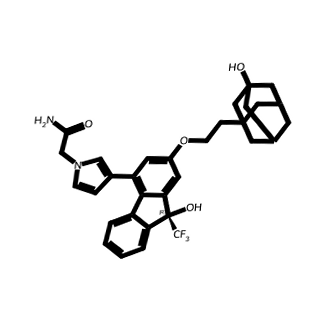 NC(=O)Cn1ccc(-c2cc(OCCC34CC5CC(CC(O)(C5)C3)C4)cc3c2-c2ccccc2[C@]3(O)C(F)(F)F)c1